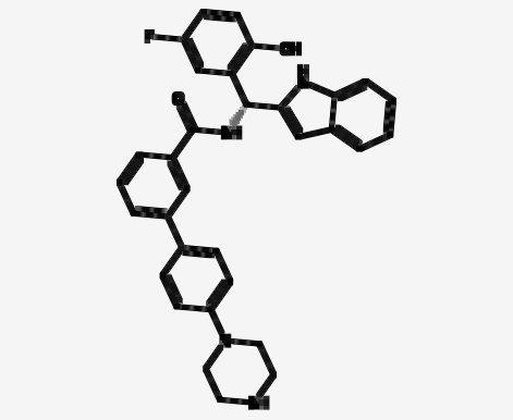 O=C(N[C@@H](c1cc2ccccc2[nH]1)c1cc(F)ccc1O)c1cccc(-c2ccc(N3CCNCC3)cc2)c1